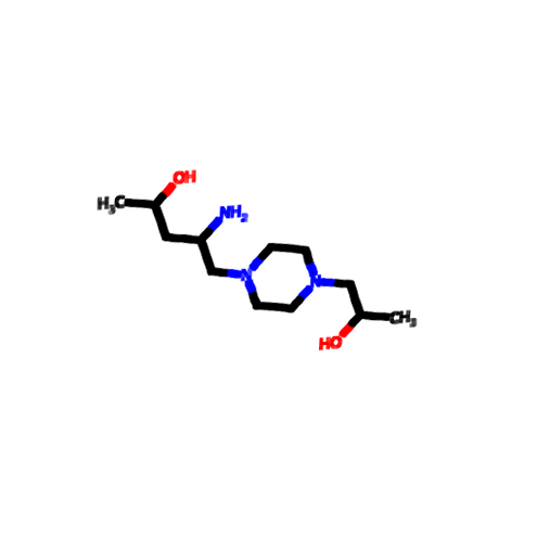 CC(O)CC(N)CN1CCN(CC(C)O)CC1